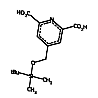 CC(C)(C)[Si](C)(C)OCc1cc(C(=O)O)nc(C(=O)O)c1